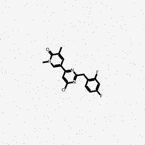 Cc1cc(-c2cc(Cl)nc(Cc3ccc(F)cc3F)n2)cn(C)c1=O